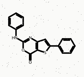 O=c1oc(Nc2ccccc2)nc2cc(-c3ccccc3)sc12